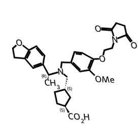 COc1cc(CN(C[C@H]2CC[C@H](C(=O)O)C2)[C@H](C)c2ccc3c(c2)CCO3)ccc1OCCN1C(=O)CCC1=O